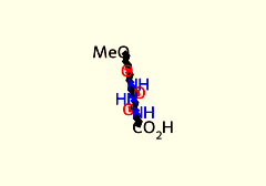 COCCCOCCNCC(=O)NCC(=O)NCCC(=O)O